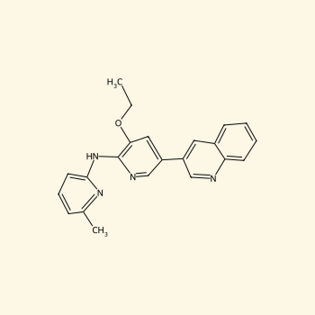 CCOc1cc(-c2cnc3ccccc3c2)cnc1Nc1cccc(C)n1